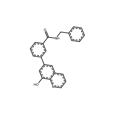 O=C(NCc1ccccc1)c1cccc(-c2cc(O)c3ncccc3c2)c1